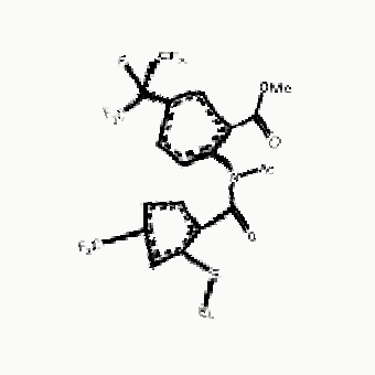 CCSc1cc(C(F)(F)F)ccc1C(=O)N(C(C)=O)c1ccc(C(F)(C(F)(F)F)C(F)(F)F)cc1C(=O)OC